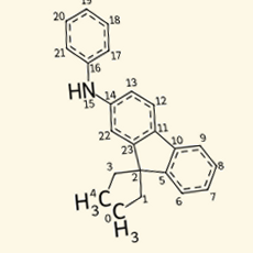 CCC1(CC)c2ccccc2-c2ccc(Nc3ccccc3)cc21